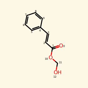 O=C(/C=C/c1ccccc1)OCO